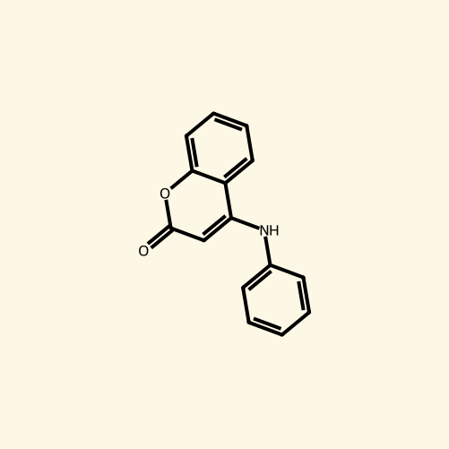 O=c1cc(Nc2ccccc2)c2ccccc2o1